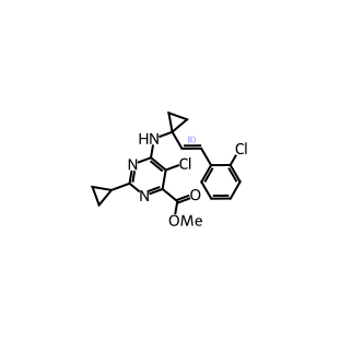 COC(=O)c1nc(C2CC2)nc(NC2(/C=C/c3ccccc3Cl)CC2)c1Cl